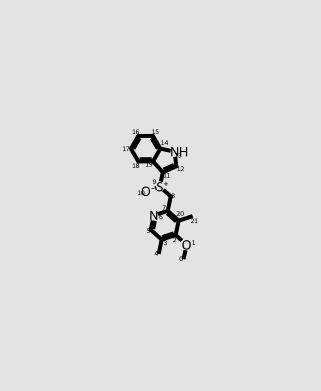 COc1c(C)cnc(C[S+]([O-])c2c[nH]c3ccccc23)c1C